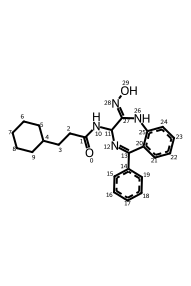 O=C(CCC1CCCCC1)NC1N=C(c2ccccc2)c2ccccc2N/C1=N\O